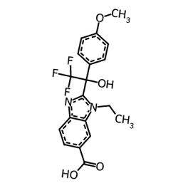 CCn1c(C(O)(c2ccc(OC)cc2)C(F)(F)F)nc2ccc(C(=O)O)cc21